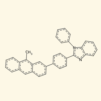 Cc1c2ccccc2cc2ccc(-c3ccc(-c4nc5ccccc5n4-c4ccccc4)cc3)cc12